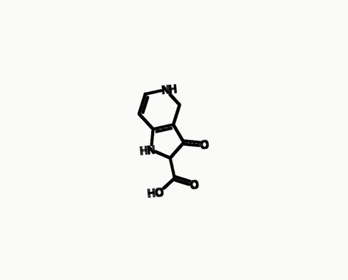 O=C(O)C1NC2=C(CNC=C2)C1=O